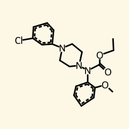 CCOC(=O)N(c1ccccc1OC)N1CCN(c2cccc(Cl)c2)CC1